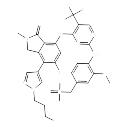 COc1cc(CP(=O)(O)O)ccc1Nc1ncc(C(F)(F)F)c(Nc2cc(F)c(-c3cnn(CCCO)c3)c3c2C(=O)N(C)C3)n1